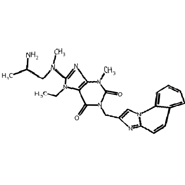 CCn1c(N(C)CC(C)N)nc2c1c(=O)n(Cc1cn3c(ccc4ccccc43)n1)c(=O)n2C